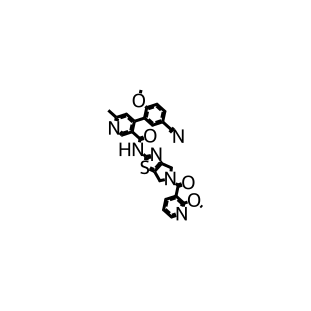 COc1ccc(C#N)cc1-c1cc(C)ncc1C(=O)Nc1nc2c(s1)CN(C(=O)c1cccnc1OC)C2